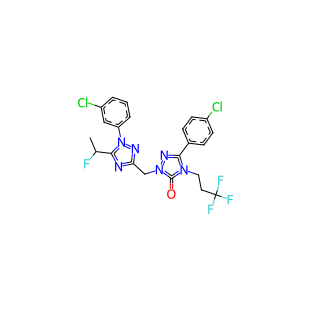 CC(F)c1nc(Cn2nc(-c3ccc(Cl)cc3)n(CCC(F)(F)F)c2=O)nn1-c1cccc(Cl)c1